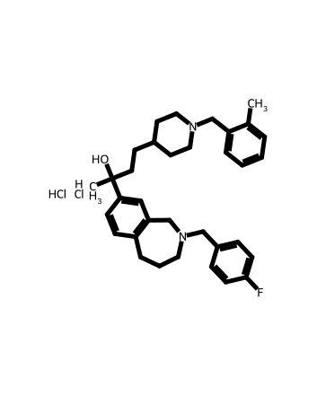 Cc1ccccc1CN1CCC(CCC(C)(O)c2ccc3c(c2)CN(Cc2ccc(F)cc2)CCC3)CC1.Cl.Cl